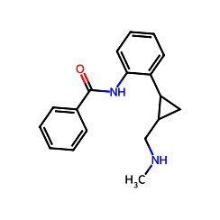 CNCC1CC1c1ccccc1NC(=O)c1ccccc1